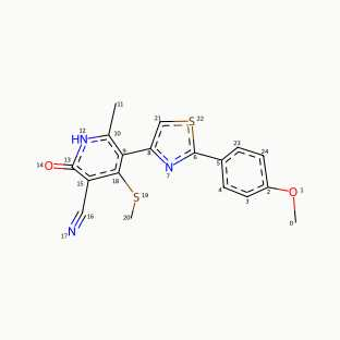 COc1ccc(-c2nc(-c3c(C)[nH]c(=O)c(C#N)c3SC)cs2)cc1